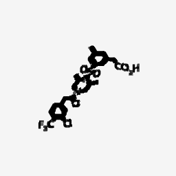 Cc1cc(CC(=O)O)cc(S(=O)(=O)N2C(C)CN(C(=O)Cc3ccc(C(F)(F)F)c(Cl)c3)CC2C)c1